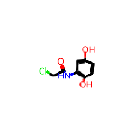 O=C(CCl)Nc1cc(O)ccc1O